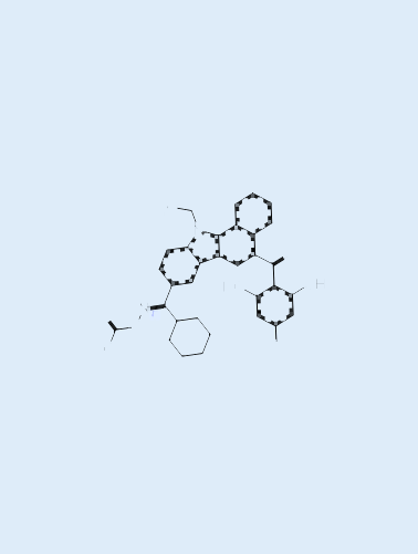 CCn1c2ccc(/C(=N/OC(C)=O)C3CCCCC3)cc2c2cc(C(=O)c3c(C)cc(C)cc3C)c3ccccc3c21